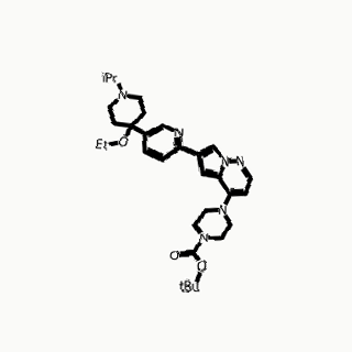 CCOC1(c2ccc(-c3cc4c(N5CCN(C(=O)OC(C)(C)C)CC5)ccnn4c3)nc2)CCN(C(C)C)CC1